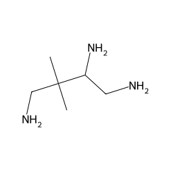 CC(C)(CN)C(N)CN